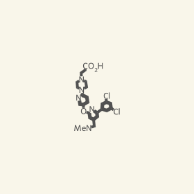 CNCc1cc(Oc2ccc(N3CCN(CCC(=O)O)CC3)nc2)nc(-c2cc(Cl)cc(Cl)c2)c1